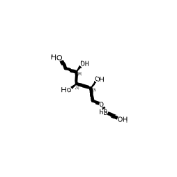 OBOC[C@H](O)[C@@H](O)[C@H](O)CO